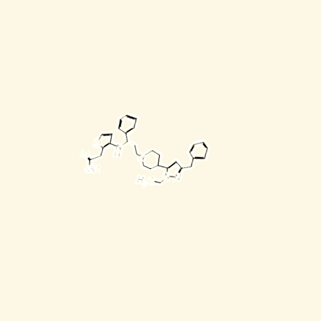 CCn1nc(Cc2ccccc2)cc1C1CCN(CC[C@H](Nc2ccoc2CC(=O)O)c2ccccc2)CC1